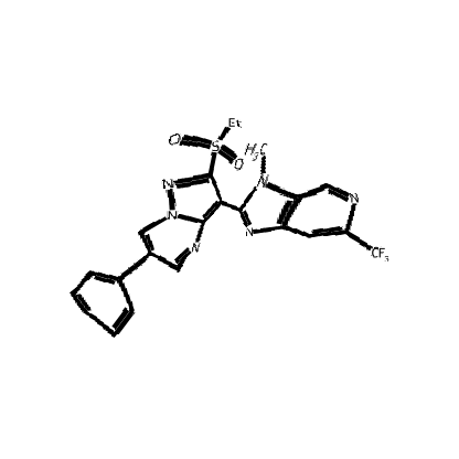 CCS(=O)(=O)c1nn2cc(-c3ccccc3)cnc2c1-c1nc2cc(C(F)(F)F)ncc2n1C